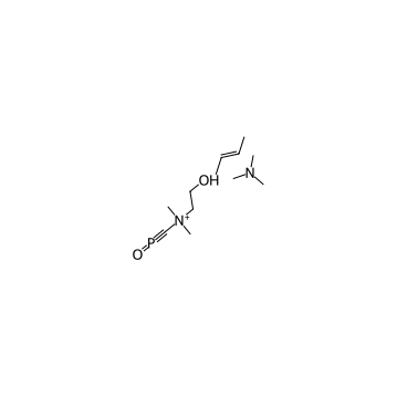 CC=CC.CN(C)C.C[N+](C)(C#P=O)CCO